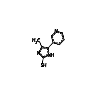 Cc1nc(S)[nH]c1-c1cccnc1